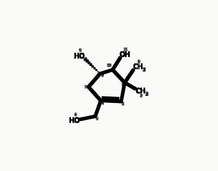 CC1(C)C=C(CO)C[C@H](O)C1O